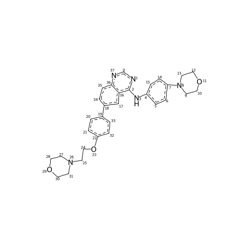 c1nc(Nc2ccc(N3CCOCC3)cc2)c2cc(-c3ccc(OCCN4CCOCC4)cc3)ccc2n1